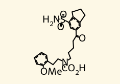 COc1ccccc1CCN(CCCCC(=O)c1cc2c(c(S(N)(=O)=O)c1)CCC2)C(=O)O